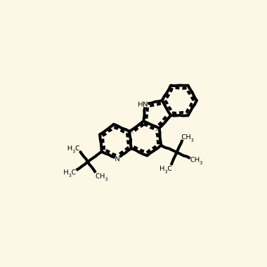 CC(C)(C)c1ccc2c(cc(C(C)(C)C)c3c4ccccc4[nH]c23)n1